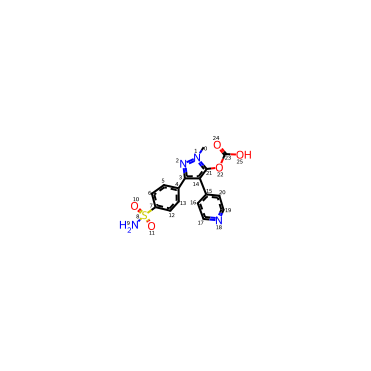 Cn1nc(-c2ccc(S(N)(=O)=O)cc2)c(-c2ccncc2)c1OC(=O)O